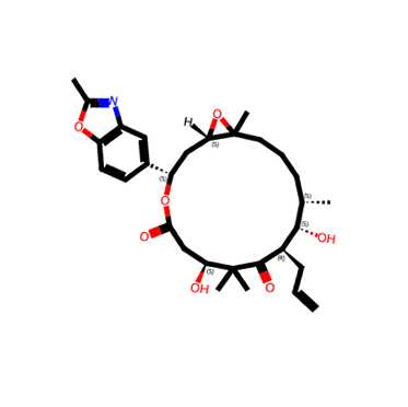 C=CC[C@H]1C(=O)C(C)(C)[C@@H](O)CC(=O)O[C@H](c2ccc3oc(C)nc3c2)C[C@@H]2OC2(C)CCC[C@H](C)[C@@H]1O